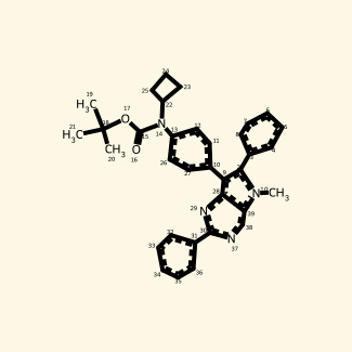 Cn1c(-c2ccccc2)c(-c2ccc(N(C(=O)OC(C)(C)C)C3CCC3)cc2)c2nc(-c3ccccc3)ncc21